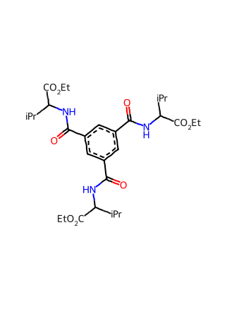 CCOC(=O)C(NC(=O)c1cc(C(=O)NC(C(=O)OCC)C(C)C)cc(C(=O)NC(C(=O)OCC)C(C)C)c1)C(C)C